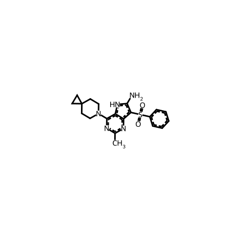 Cc1nc(N2CCC3(CC2)CC3)c2[nH]c(N)c(S(=O)(=O)c3ccccc3)c2n1